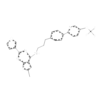 Cc1cc2c(NCCCc3ccc(-c4ccc(OC(F)(F)F)cn4)cc3)nc(-c3ccoc3)nc2s1